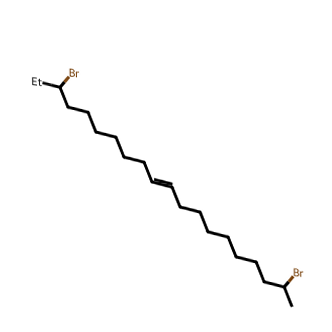 CCC(Br)CCCCCCC=CCCCCCCCC(C)Br